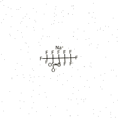 O=S(=O)([O-])C(F)(C(F)(F)F)C(F)(F)C(F)(F)C(F)(F)F.[Na+]